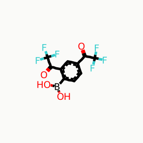 O=C(c1ccc(B(O)O)c(C(=O)C(F)(F)F)c1)C(F)(F)F